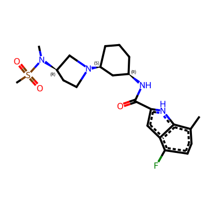 Cc1ccc(F)c2cc(C(=O)N[C@@H]3CCC[C@H](N4CC[C@@H](N(C)S(C)(=O)=O)C4)C3)[nH]c12